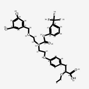 CCOC(Cc1ccc(OCCN(CCOCc2cc(Cl)cc(Cl)c2)C(=O)Oc2cccc(C(F)(F)F)c2)cc1)C(=O)O